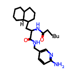 CCC(C)CC(=O)NC(CC1CCCC2CCCC[C@@H]21)C(=O)NCc1ccc(N)nc1